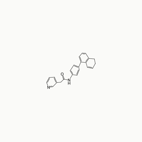 O=C(Cc1cccnc1)Nc1ccc(-c2cccc3c2C=CCC3)cc1